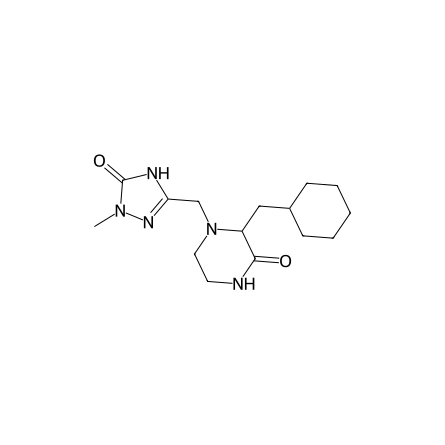 Cn1nc(CN2CCNC(=O)C2CC2CCCCC2)[nH]c1=O